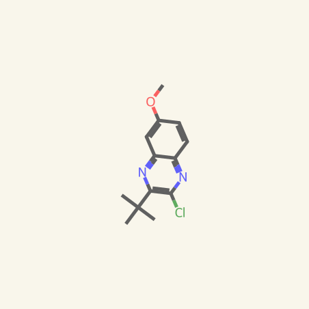 COc1ccc2nc(Cl)c(C(C)(C)C)nc2c1